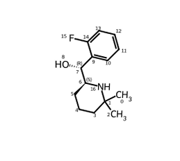 CC1(C)CCC[C@@H]([C@H](O)c2ccccc2F)N1